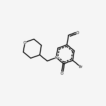 O=Cc1cc(Br)c(=O)n(CC2CCOCC2)c1